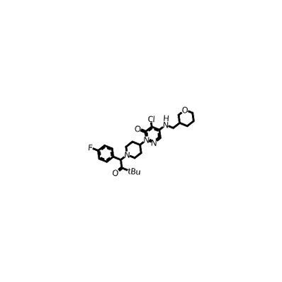 CC(C)(C)C(=O)C(c1ccc(F)cc1)N1CCC(n2ncc(NCC3CCCOC3)c(Cl)c2=O)CC1